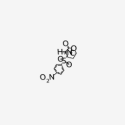 O=C1OC2CC[C@H]1N(S(=O)(=O)c1ccc([N+](=O)[O-])cc1)C2